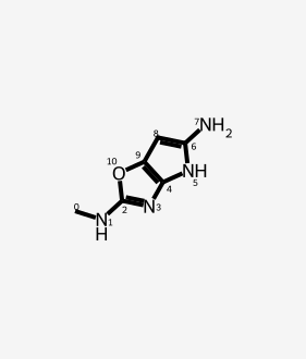 CNc1nc2[nH]c(N)cc2o1